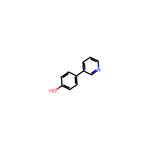 Oc1ccc(-c2[c]nccc2)cc1